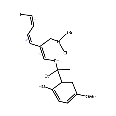 CCC(C)(P/C=C(/C=C\C=C/I)CN(Cl)C(C)(C)C)C1CC(OC)=CC=C1O